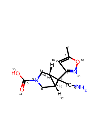 Cc1cc(C2(CN)[C@@H]3CN(C(=O)O)C[C@@H]32)no1